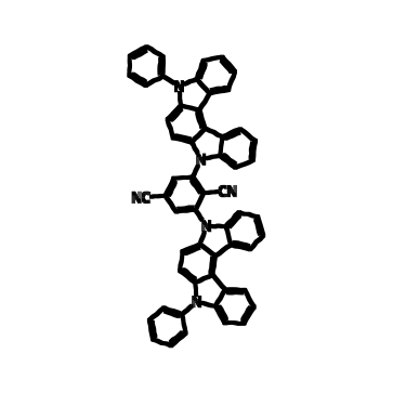 N#Cc1cc(-n2c3ccccc3c3c4c5ccccc5n(-c5ccccc5)c4ccc32)c(C#N)c(-n2c3ccccc3c3c4c5ccccc5n(-c5ccccc5)c4ccc32)c1